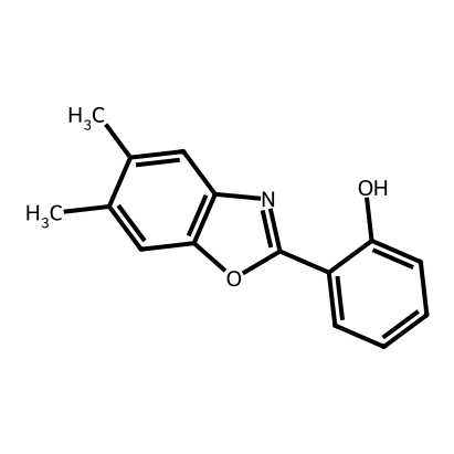 Cc1cc2nc(-c3ccccc3O)oc2cc1C